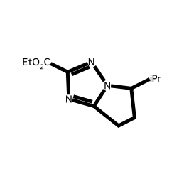 CCOC(=O)c1nc2n(n1)C(C(C)C)CC2